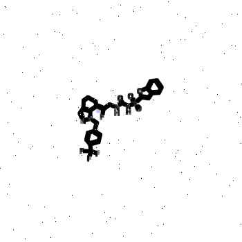 O=C(NC/C(F)=C1\CCCc2cnn(Cc3ccc(C(F)(F)F)cc3)c21)NS(=O)(=O)c1cc2ccccc2o1